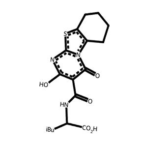 CCC(C)C(NC(=O)c1c(O)nc2sc3c(n2c1=O)CCCC3)C(=O)O